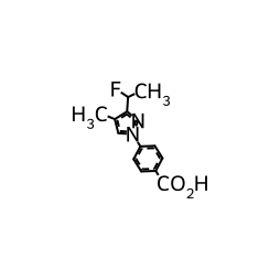 Cc1cn(-c2ccc(C(=O)O)cc2)nc1C(C)F